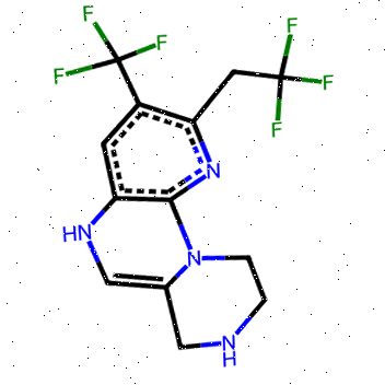 FC(F)(F)Cc1nc2c(cc1C(F)(F)F)NC=C1CNCCN12